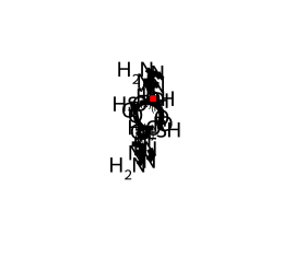 Nc1ncnc2c1ncn2[C@@H]1O[C@@H]2COP(=O)(S)O[C@H]3C(O)[C@@H](COP(=O)(S)OC2[C@@H]1F)O[C@H]3n1cnc2c(N)ncnc21